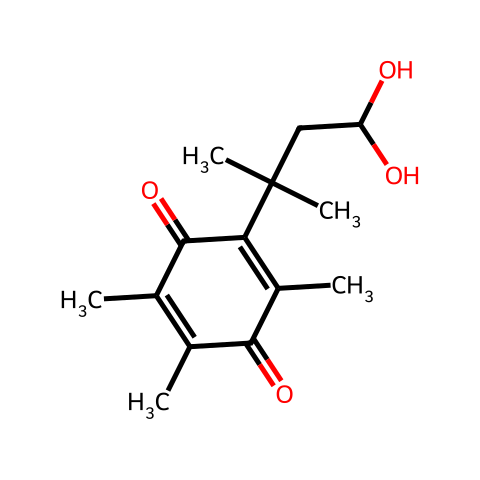 CC1=C(C)C(=O)C(C(C)(C)CC(O)O)=C(C)C1=O